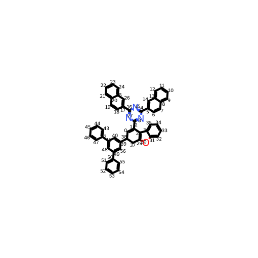 C1=C(c2nc(-c3ccc4ccccc4c3)nc(-c3ccc4ccccc4c3)n2)c2c(oc3ccccc23)CC1c1cc(-c2ccccc2)cc(-c2ccccc2)c1